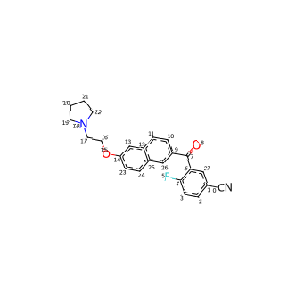 N#Cc1ccc(F)c(C(=O)c2ccc3cc(OCCN4CCCC4)ccc3c2)c1